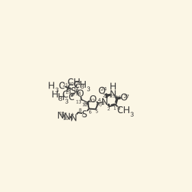 Cc1cn([C@H]2CC(SCN=[N+]=[N-])[C@@H](CO[Si](C)(C)C(C)(C)C)O2)c(=O)[nH]c1=O